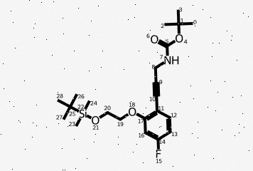 CC(C)(C)OC(=O)NCC#Cc1ccc(F)cc1OCCO[Si](C)(C)C(C)(C)C